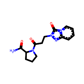 NC(=O)C1CCCN1C(=O)CCn1nc2ccccn2c1=O